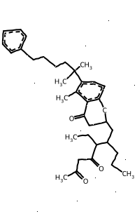 CCCC(CC1CC(=O)c2c(ccc(C(C)(C)CCCCc3ccccc3)c2C)C1)C(CC)C(=O)CC(C)=O